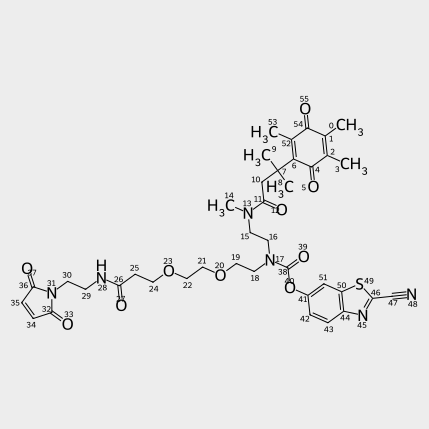 CC1=C(C)C(=O)C(C(C)(C)CC(=O)N(C)CCN(CCOCCOCCC(=O)NCCN2C(=O)C=CC2=O)C(=O)Oc2ccc3nc(C#N)sc3c2)=C(C)C1=O